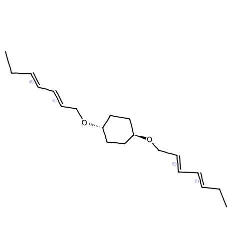 CC/C=C/C=C/CO[C@H]1CC[C@H](OC/C=C/C=C/CC)CC1